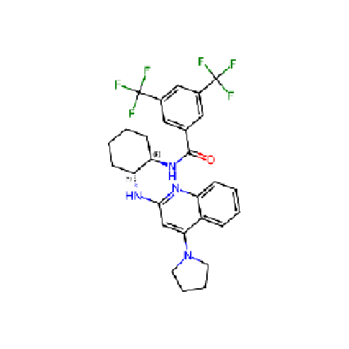 O=C(N[C@@H]1CCCC[C@H]1Nc1cc(N2CCCC2)c2ccccc2n1)c1cc(C(F)(F)F)cc(C(F)(F)F)c1